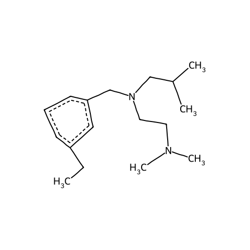 CCc1cccc(CN(CCN(C)C)CC(C)C)c1